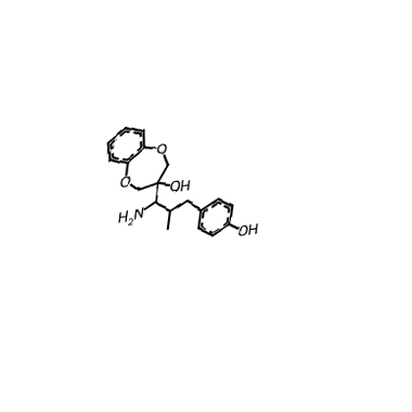 CC(Cc1ccc(O)cc1)C(N)C1(O)COc2ccccc2OC1